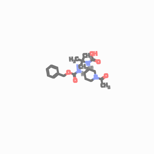 CC(=O)N1CC[C@H](NC(=O)OCc2ccccc2)[C@H](N(C(=O)O)C(C)(C)C)C1